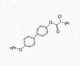 CCCOc1ccc(-c2ccc(OC(=O)C(Cl)C(C)C)cc2)cc1